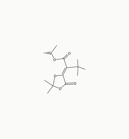 C[SiH](C)OC(=O)C(=C1OC(C)(C)OC1=O)C(C)(C)C